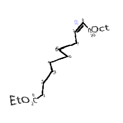 [CH2]COC(=O)CCCCCCC/C=C\CCCCCCCC